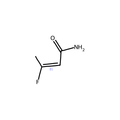 C/C(F)=C\C(N)=O